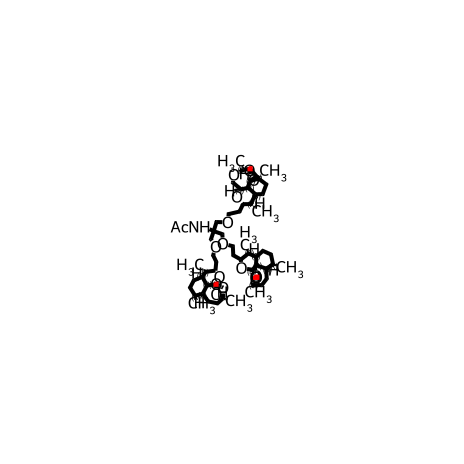 CC(=O)NC(COCCC1O[C@@H]2O[C@@]3(C)CC[C@H]4[C@H](C)CC[C@@H]([C@H]1C)[C@@]24OO3)(COCCC1O[C@@H]2O[C@@]3(C)CC[C@H]4[C@H](C)CC[C@@H]([C@H]1C)[C@@]24OO3)COCCC1O[C@@H]2CO[C@@]3(C)CC[C@H]4[C@H](C)CC[C@@H]([C@H]1C)[C@@]24OO3